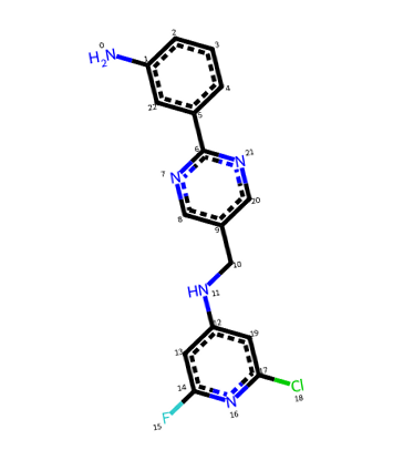 Nc1cccc(-c2ncc(CNc3cc(F)nc(Cl)c3)cn2)c1